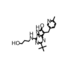 Cc1ccc(Cc2c(=O)[nH]n3c(NCCCO)nc(C(C)(C)C)nc23)cn1